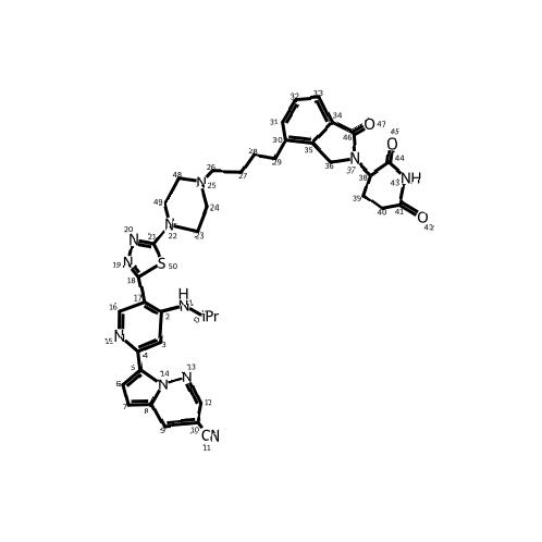 CC(C)Nc1cc(-c2ccc3cc(C#N)cnn23)ncc1-c1nnc(N2CCN(CCCCc3cccc4c3CN(C3CCC(=O)NC3=O)C4=O)CC2)s1